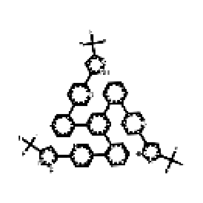 FC(F)(F)c1cc(-c2ccc(-c3ccccc3-c3cc(-c4ccccc4-c4ccc(-c5cc(C(F)(F)F)n[nH]5)nc4)cc(-c4ccccc4-c4ccc(-c5cc(C(F)(F)F)n[nH]5)nc4)c3)cn2)[nH]n1